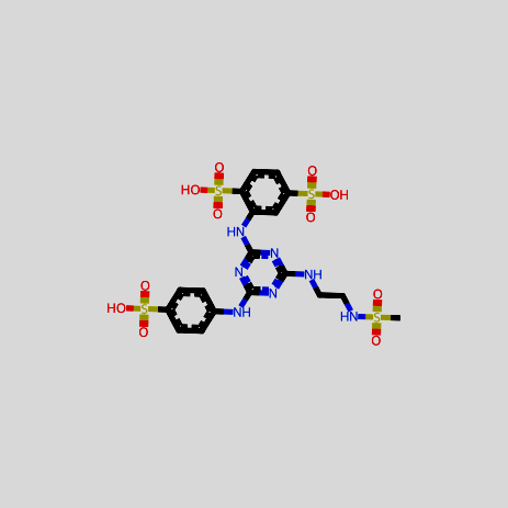 CS(=O)(=O)NCCNc1nc(Nc2ccc(S(=O)(=O)O)cc2)nc(Nc2cc(S(=O)(=O)O)ccc2S(=O)(=O)O)n1